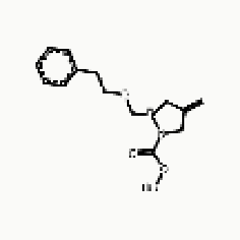 C=C1C[C@H](COCCc2ccccc2)N(C(=O)OC(C)(C)C)C1